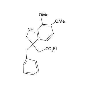 CCOC(=O)CC(CN)(Cc1ccccc1)c1ccc(OC)c(OC)c1